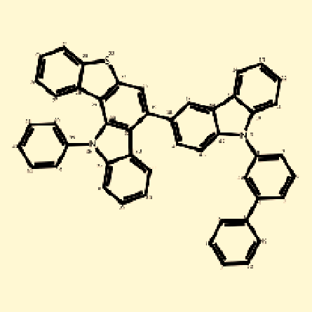 c1ccc(-c2cccc(-n3c4ccccc4c4cc(-c5cc6sc7ccccc7c6c6c5c5ccccc5n6-c5ccccc5)ccc43)c2)cc1